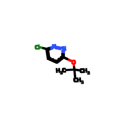 CC(C)(C)Oc1ccc(Cl)nn1